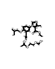 CC(=O)OCCOC=O.CCOC(=O)c1c(C)ncn1-c1ccc(OCC(C)C)c(C#N)c1